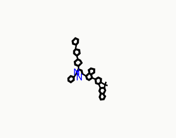 CC1(C)c2ccc(-c3ccc(-c4cc(-c5ccc(-c6ccc(-c7ccccc7)cc6)cc5)nc(-c5ccccc5)n4)c4ccccc34)cc2-c2cc3ccccc3cc21